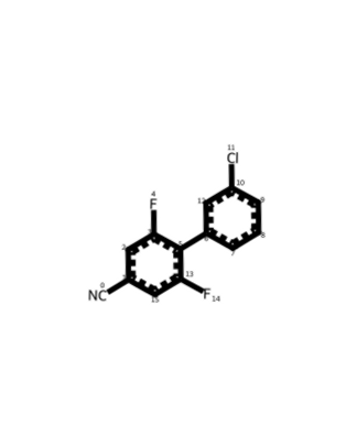 N#Cc1cc(F)c(-c2[c]ccc(Cl)c2)c(F)c1